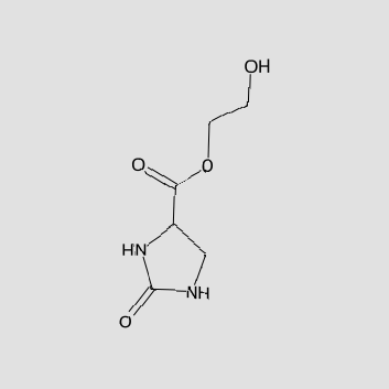 O=C1NCC(C(=O)OCCO)N1